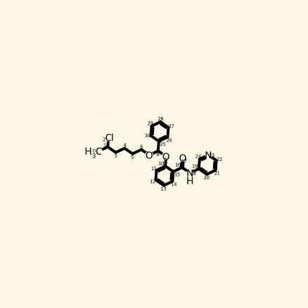 CC(Cl)CCCCOC(Oc1ccccc1C(=O)Nc1cccnc1)c1ccccc1